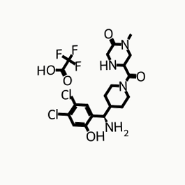 CN1CC(C(=O)N2CCC([C@@H](N)c3cc(Cl)c(Cl)cc3O)CC2)NCC1=O.O=C(O)C(F)(F)F